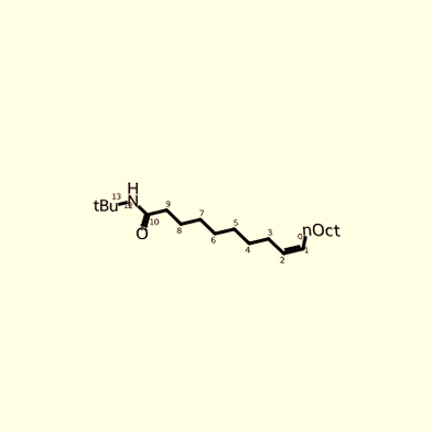 CCCCCCCC/C=C\CCCCCCCC(=O)NC(C)(C)C